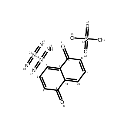 O=C1C=CC=C2C(=O)C=CC=C12.O=S(=O)(Cl)Cl.[N-]=[N+]=N.[N-]=[N+]=[N-]